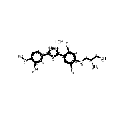 CCOc1ccc(-c2nnc(-c3cc(F)c(OC[C@H](N)CO)cc3Cl)s2)cc1C#N.Cl